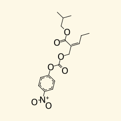 CCC=C(COC(=O)Oc1ccc([N+](=O)[O-])cc1)C(=O)OCC(C)C